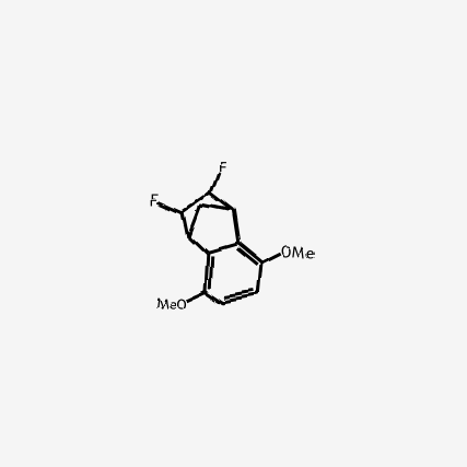 COc1ccc(OC)c2c1C1CC2C(F)C1F